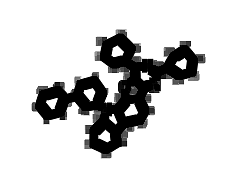 c1ccc(-c2cccc(-n3c4ccccc4c4ccc5c6nc(-c7ccccc7)nc(-c7ccccc7)c6oc5c43)c2)cc1